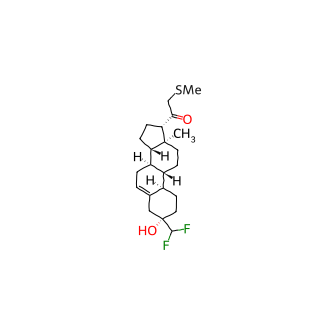 CSCC(=O)[C@H]1CC[C@H]2[C@@H]3CC=C4C[C@](O)(C(F)F)CC[C@@H]4[C@H]3CC[C@]12C